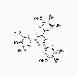 CC(C)(C)c1cc(-c2cc(-c3cc(C=O)c(O)c(C(C)(C)C)c3)cc(-c3cc(C=O)c(O)c(C(C)(C)C)c3)c2)cc(C=O)c1O